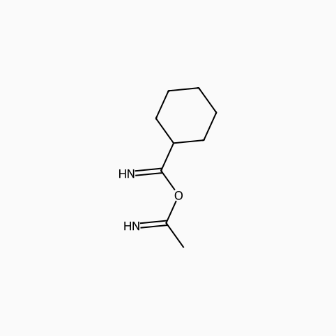 CC(=N)OC(=N)C1CCCCC1